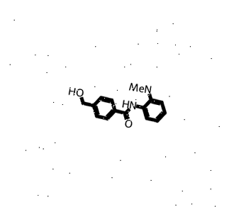 CNc1ccccc1NC(=O)c1ccc(CO)cc1